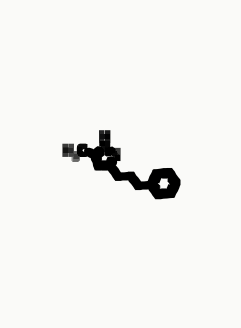 Cc1cc(CCCc2ccccc2)n[nH]1